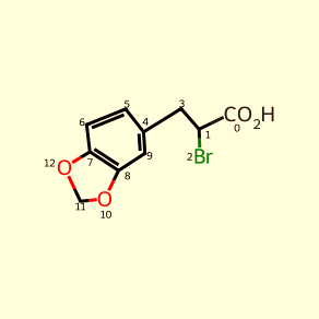 O=C(O)C(Br)Cc1ccc2c(c1)OCO2